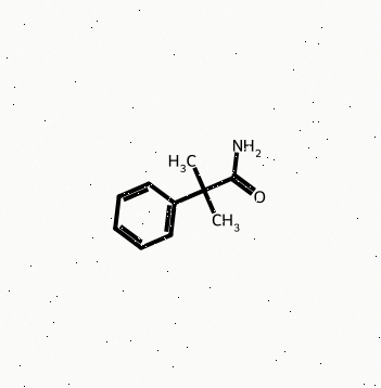 CC(C)(C(N)=O)c1ccccc1